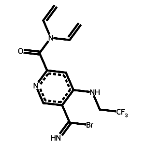 C=CN(C=C)C(=O)c1cc(NCC(F)(F)F)c(C(=N)Br)cn1